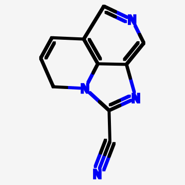 N#Cc1nc2cncc3c2n1CC=C3